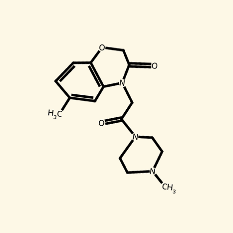 Cc1ccc2c(c1)N(CC(=O)N1CCN(C)CC1)C(=O)CO2